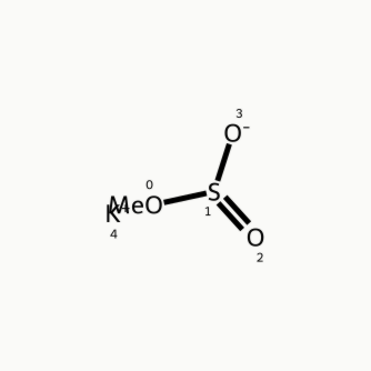 COS(=O)[O-].[K+]